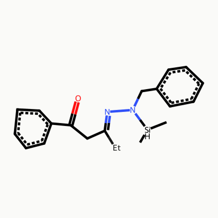 CCC(CC(=O)c1ccccc1)=NN(Cc1ccccc1)[SiH](C)C